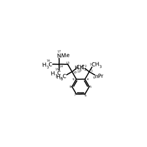 CCCC(C)(C)c1ccccc1C(C)(C)CC(C)(C)NC